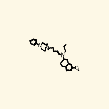 CCCN(CCCCN1CCN(c2ccccc2)CC1)C1CCc2ccc(OC)cc2C1